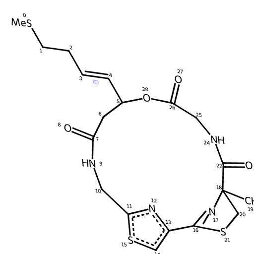 CSCC/C=C/C1CC(=O)NCc2nc(cs2)C2=NC(C)(CS2)C(=O)NCC(=O)O1